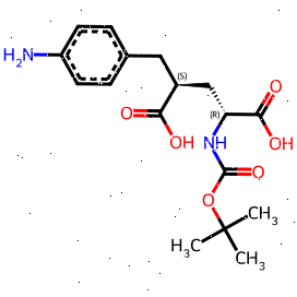 CC(C)(C)OC(=O)N[C@H](C[C@H](Cc1ccc(N)cc1)C(=O)O)C(=O)O